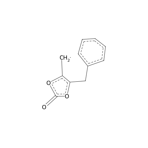 [CH2]c1oc(=O)oc1Cc1ccccc1